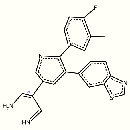 Cc1cc(-c2ncc(/C(C=N)=C/N)cc2-c2ccc3ncsc3c2)ccc1F